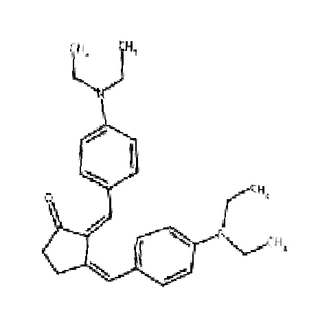 CCN(CC)c1ccc(/C=C2/CCC(=O)/C2=C\c2ccc(N(CC)CC)cc2)cc1